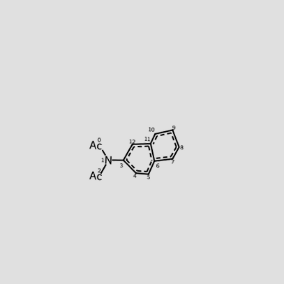 CC(=O)N(C(C)=O)c1ccc2ccccc2c1